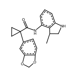 CC1CNc2cccc(NC(=O)C3(c4ccc5c(c4)OCO5)CC3)c21